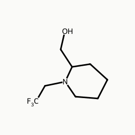 OCC1CCCCN1CC(F)(F)F